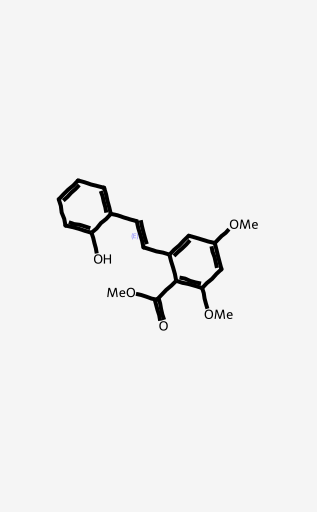 COC(=O)c1c(/C=C/c2ccccc2O)cc(OC)cc1OC